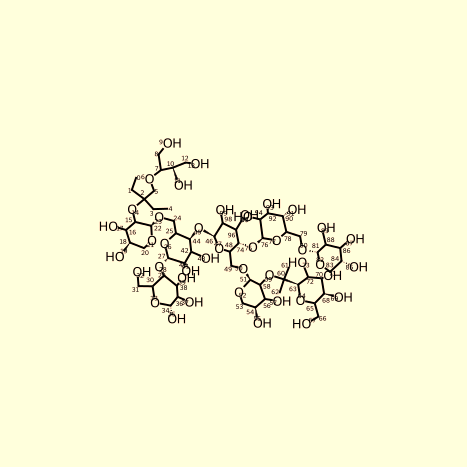 CCC(CC)(COC(CO)[C@H](O)CO)OC1C(O)[C@H](O)CO[C@@H]1OCC1O[C@@H](O[C@@H]2C(CO)O[C@@H](O)C(O)C2O)C(O)C(O)[C@@H]1O[C@@H]1OC(CO[C@@H]2OC[C@H](O)C(O)C2OC(C)(C)[C@@H]2OC(CO)[C@H](O)C(O)C2O)[C@@H](O[C@@H]2OC(CO[C@H]3OC[C@@H](O)C(O)C3O)[C@@H](O)C(O)C2O)C(O)C1O